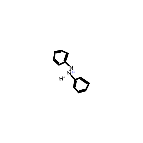 [H+].c1ccc(/N=N/c2ccccc2)cc1